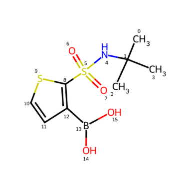 CC(C)(C)NS(=O)(=O)c1sccc1B(O)O